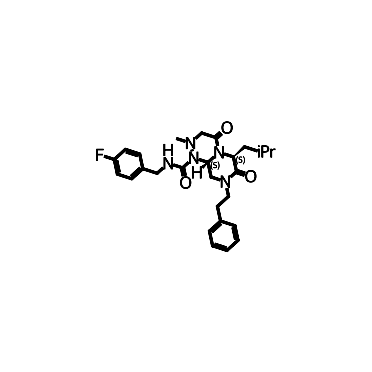 CC(C)C[C@H]1C(=O)N(CCc2ccccc2)C[C@H]2N1C(=O)CN(C)N2C(=O)NCc1ccc(F)cc1